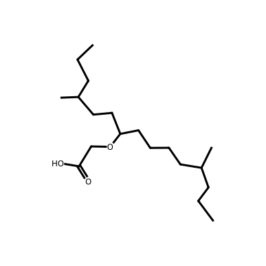 CCCC(C)CCCCC(CCC(C)CCC)OCC(=O)O